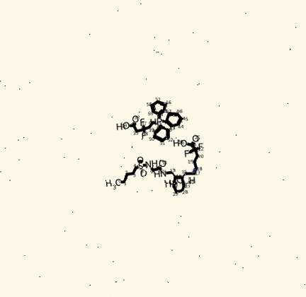 CCCCCS(=O)(=O)NCC(=O)NC[C@H]1[C@@H](C/C=C\CCC(F)(F)C(=O)O)[C@H]2CC[C@@H]1O2.O=C(O)CC(F)(F)CC[PH](c1ccccc1)(c1ccccc1)c1ccccc1